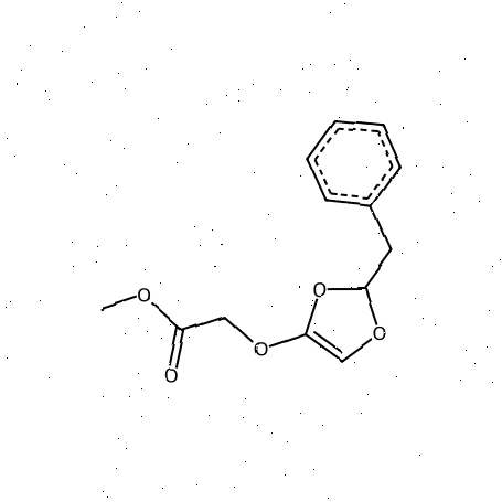 COC(=O)COC1=COC(Cc2ccccc2)O1